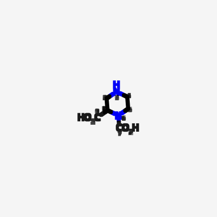 O=C(O)C1CNCCN1C(=O)O